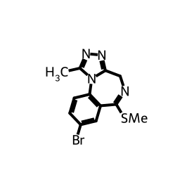 CSC1=NCc2nnc(C)n2-c2ccc(Br)cc21